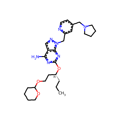 CCC[C@H](CCOC1CCCCO1)Oc1nc(N)c2cnn(Cc3cc(CN4CCCC4)ccn3)c2n1